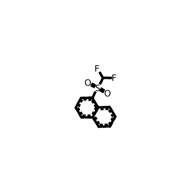 O=S(=O)(c1cccc2ccccc12)C(F)F